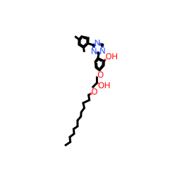 CCCCCCCCCCCCCOCC(O)COc1ccc(-c2ncnc(-c3ccc(C)cc3C)n2)c(O)c1